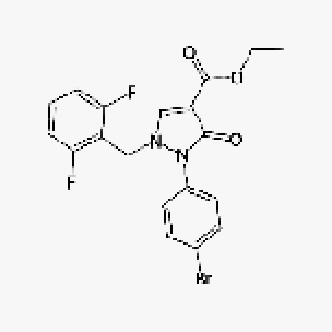 CCOC(=O)c1cn(Cc2c(F)cccc2F)n(-c2ccc(Br)cc2)c1=O